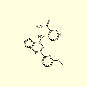 C=C(N)c1cnccc1Nc1nc(-c2cccc(OC)n2)nn2cccc12